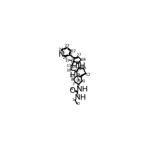 CCNC(=O)N[C@@H]1CC[C@@]2(C)C(=CC[C@@H]3[C@@H]2CC[C@]2(C)C(c4cccnc4)=CC[C@@H]32)C1